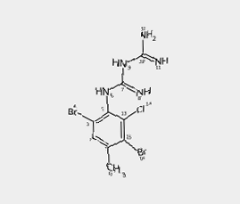 Cc1cc(Br)c(NC(=N)NC(=N)N)c(Cl)c1Br